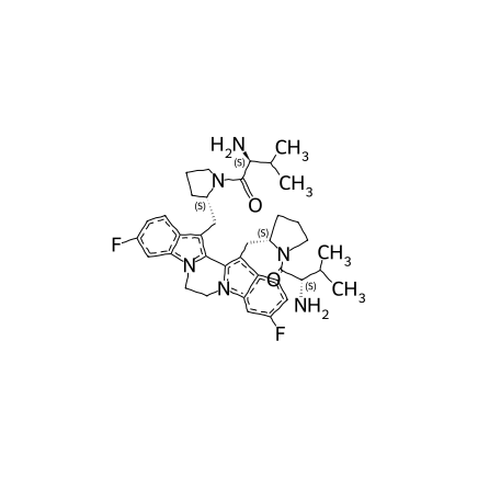 CC(C)[C@H](N)C(=O)N1CCC[C@H]1Cc1c2n(c3cc(F)ccc13)CCn1c-2c(C[C@@H]2CCCN2C(=O)[C@@H](N)C(C)C)c2ccc(F)cc21